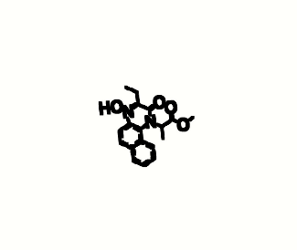 CCC(=NO)C(=O)N(c1c(C)ccc2ccccc12)C(C)C(=O)OC